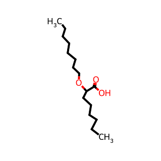 CCCCCCCCOC(CCCCCC)C(=O)O